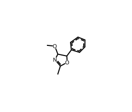 COC1N=C(C)OC1c1ccccc1